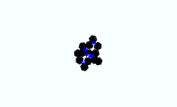 c1ccc(-n2c3ccccc3c3cc(-c4cccc5c6c7ccccc7cc7c8nc9c(cc8n(c45)c76)c4cccc5c6c7ccccc7cc(-c7ccc8c(c7)c7ccccc7n8-c7ccccc7)c6n9c45)ccc32)cc1